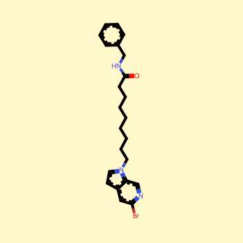 O=C(CCCCCCCCn1ccc2cc(Br)ncc21)NCc1ccccc1